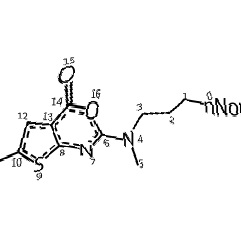 CCCCCCCCCCCCN(C)c1nc2sc(C)cc2c(=O)o1